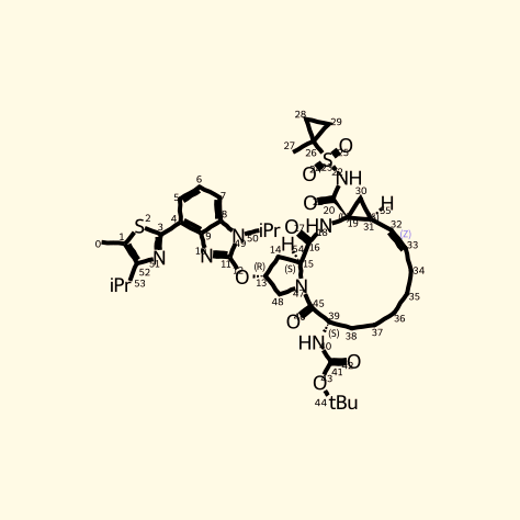 Cc1sc(-c2cccc3c2nc(O[C@@H]2C[C@H]4C(=O)N[C@]5(C(=O)NS(=O)(=O)C6(C)CC6)C[C@H]5/C=C\CCCCC[C@H](NC(=O)OC(C)(C)C)C(=O)N4C2)n3C(C)C)nc1C(C)C